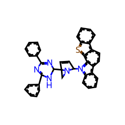 C1=CC2(C3N=C(c4ccccc4)N=C(c4ccccc4)N3)CN2C1n1c2ccccc2c2ccc3c4ccccc4sc3c21